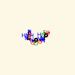 COc1ccc(-c2cnc(C(=O)Nc3ccc(C(=O)NCc4cnc(NC(=O)CN(C)C)s4)c(Cl)c3)n2C)c(F)c1F